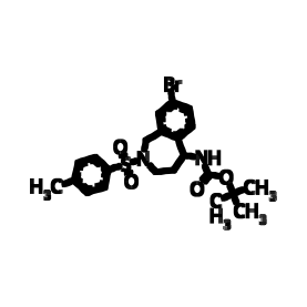 Cc1ccc(S(=O)(=O)N2CCC(NC(=O)OC(C)(C)C)c3ccc(Br)cc3C2)cc1